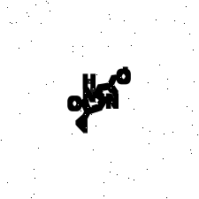 COCc1cnc2cc(C3CC3)c(=O)[nH]c2c1